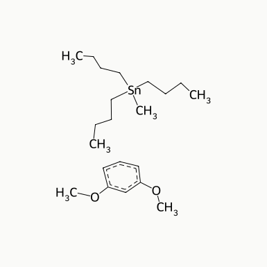 CCC[CH2][Sn]([CH3])([CH2]CCC)[CH2]CCC.COc1cccc(OC)c1